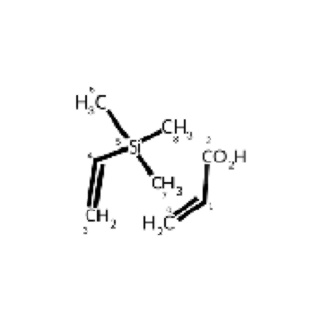 C=CC(=O)O.C=C[Si](C)(C)C